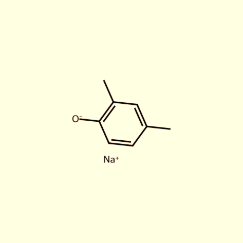 Cc1ccc([O-])c(C)c1.[Na+]